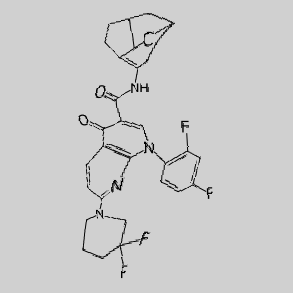 O=C(NC1=C2CCC3CC(C1)CC23)c1cn(-c2ccc(F)cc2F)c2nc(N3CCCC(F)(F)C3)ccc2c1=O